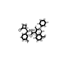 CC1=C(C(=O)N[C@H](c2cccc(F)c2)C2CCC2=O)c2cccc(F)c2CN1c1ccccc1